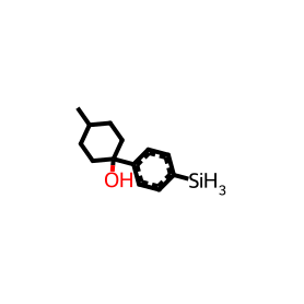 CC1CCC(O)(c2ccc([SiH3])cc2)CC1